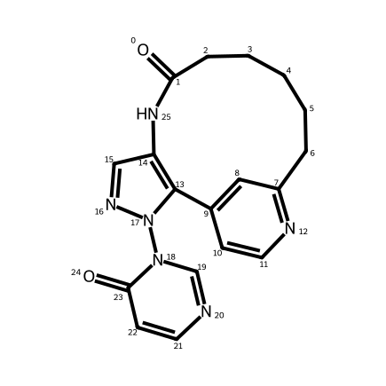 O=C1CCCCCc2cc(ccn2)-c2c(cnn2-n2cnccc2=O)N1